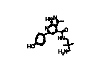 Cc1n[nH]c2nc(-c3ccc(O)cc3)cc(C(=O)NCC(C)(C)CN)c12